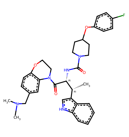 C[C@H](c1c[nH]c2ccccc12)[C@@H](NC(=O)N1CCC(Oc2ccc(F)cc2)CC1)C(=O)N1CCOc2ccc(CN(C)C)cc21